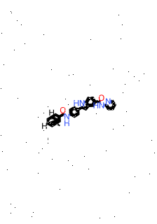 C[C@@]12C[C@@H]3C[C@@H](CC(C(=O)Nc4ccc(-c5cc6cc(C(=O)Nc7ccccn7)ccc6[nH]5)cc4)(C3)C1)C2